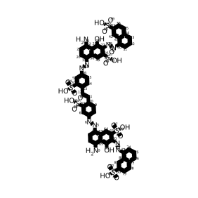 Nc1ccc(N=Nc2ccc(/C=C/c3ccc(N=Nc4ccc(N)c5c(O)c(N=Nc6cccc7ccc(S(=O)(=O)O)cc67)c(S(=O)(=O)O)cc45)cc3S(=O)(=O)O)c(S(=O)(=O)O)c2)c2cc(S(=O)(=O)O)c(N=Nc3cccc4ccc(S(=O)(=O)O)cc34)c(O)c12